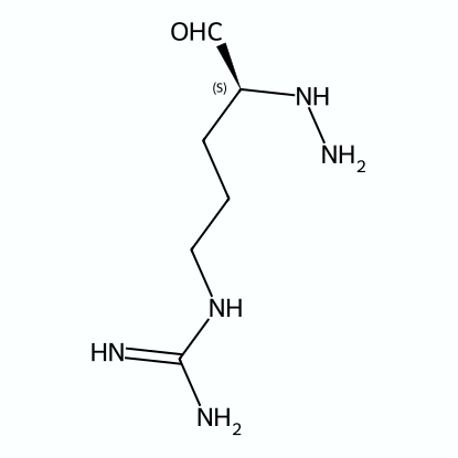 N=C(N)NCCC[C@@H](C=O)NN